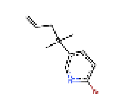 C=CC[Si](C)(C)c1ccc(Br)nc1